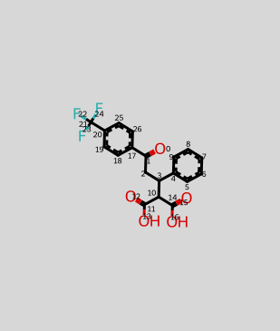 O=C(CC(c1ccccc1)C(C(=O)O)C(=O)O)c1ccc(C(F)(F)F)cc1